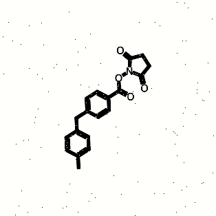 Cc1ccc(Cc2ccc(C(=O)ON3C(=O)CCC3=O)cc2)cc1